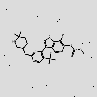 COC(=O)Nc1ccc2c(-c3nc(NC4CCC(C)(C)NC4)ncc3C(F)(F)F)c[nH]c2c1Cl